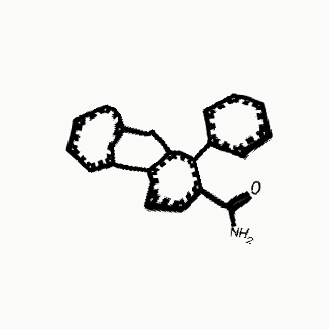 NC(=O)c1ccc2c(c1-c1ccccc1)Cc1ccccc1-2